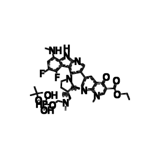 CCOC(=O)c1cn(C)c2ncc(-c3cnc4[nH]c5c(NC)cc(F)c(F)c5c4c3N3CC[C@H](CN(C)CO[PH](O)(O)OC(C)(C)C)[C@@H]3C)cc2c1=O